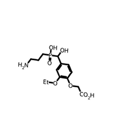 CCOc1cc(C(O)P(=O)(O)CCCN)ccc1OCC(=O)O